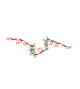 OCCCOCC(O)COCC(O)COCC(F)(F)OC(F)(F)OC(F)(F)C(F)(F)OC(F)(F)COCC(O)COCC(F)(F)OC(F)(F)OC(F)(F)C(F)(F)OC(F)(F)COCC(O)COCC(O)COCCCO